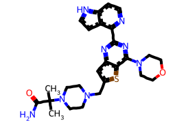 CC(C)(C(N)=O)N1CCN(Cc2cc3nc(-c4nccc5[nH]ccc45)nc(N4CCOCC4)c3s2)CC1